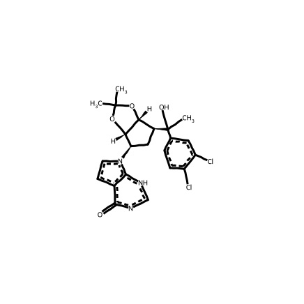 CC1(C)O[C@@H]2[C@H](O1)[C@@H](C(C)(O)c1ccc(Cl)c(Cl)c1)C[C@H]2n1ccc2c(=O)nc[nH]c21